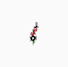 Fc1ccc(OCCOCCI)cc1